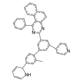 Cc1cc(C2C=CC=CN2)ccc1-c1cc(-c2ccncc2)cc(-c2nc(-c3ccccc3)c3c(ccc4ccccc43)n2)c1